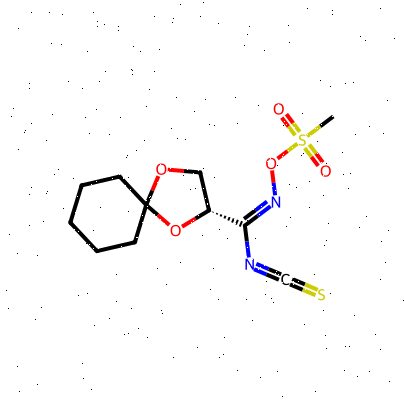 CS(=O)(=O)O/N=C(/N=C=S)[C@H]1COC2(CCCCC2)O1